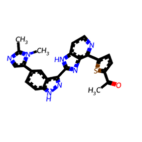 CC(=O)c1ccc(-c2nccc3[nH]c(-c4n[nH]c5ccc(-c6cnc(C)n6C)cc45)nc23)s1